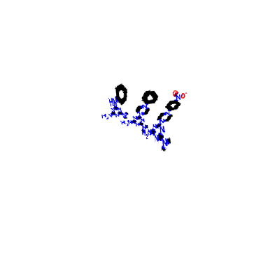 CN(C)c1nc(N)nc(N2CCN(c3ccc([N+](=O)[O-])cc3)CC2)n1.CN(C)c1nc(N)nc(N2CCN(c3ccccc3)CC2)n1.CN(C)c1nc(N)nc(NC2CCCCC2)n1